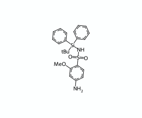 COc1cc(N)ccc1S(=O)(=O)N[Si](c1ccccc1)(c1ccccc1)C(C)(C)C